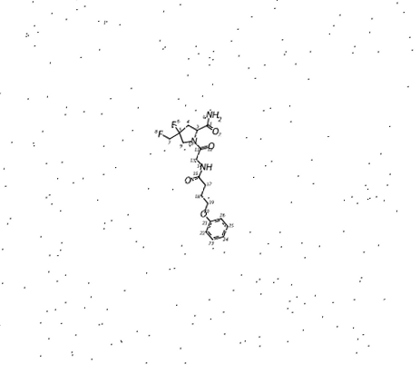 NC(=O)C1CC(F)(CF)CN1C(=O)CNC(=O)CCCOc1ccccc1